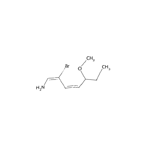 CCC(/C=C\C(Br)=C/N)OC